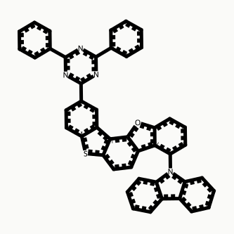 c1ccc(-c2nc(-c3ccccc3)nc(-c3ccc4sc5ccc6c(oc7cccc(-n8c9ccccc9c9ccccc98)c76)c5c4c3)n2)cc1